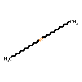 CCCCCCCCCCCC/C=C/[P]/C=C/CCCCCCCCCCCC